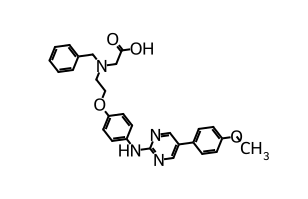 COc1ccc(-c2cnc(Nc3ccc(OCCN(CC(=O)O)Cc4ccccc4)cc3)nc2)cc1